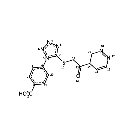 O=C(O)c1ccc(-n2nnnc2SCC(=O)C2C=CN=NC2)cc1